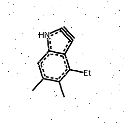 CCc1c(C)c(C)cc2[nH]c#cc12